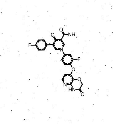 NC(=O)c1cn(-c2ccc(Oc3ccnc4c3OCC(=O)N4)c(F)c2)cc(-c2ccc(F)cc2)c1=O